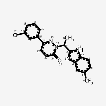 CC(c1nc2cc(C(F)(F)F)ccc2[nH]1)n1nc(-c2cccc(Cl)c2)ccc1=O